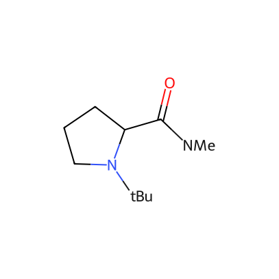 CNC(=O)C1CCCN1C(C)(C)C